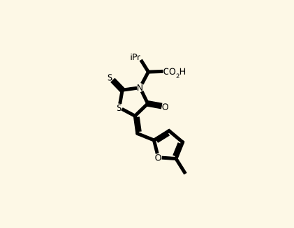 Cc1ccc(C=C2SC(=S)N(C(C(=O)O)C(C)C)C2=O)o1